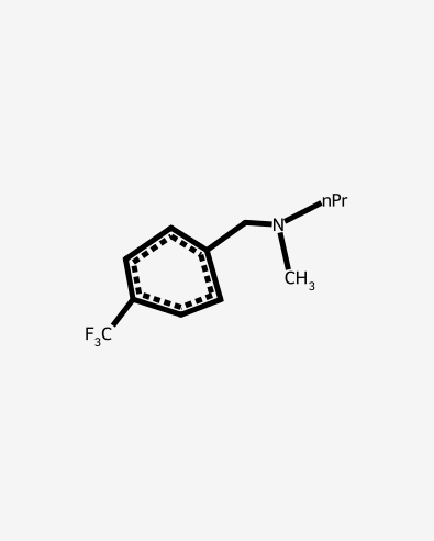 CCCN(C)Cc1ccc(C(F)(F)F)cc1